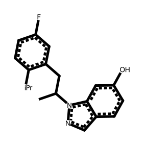 CC(C)c1ccc(F)cc1CC(C)n1ncc2ccc(O)cc21